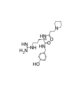 N=C(N)NCCC[C@@H](NC(=O)CCN1CCCCC1)C(=O)NCc1ccc(O)cc1